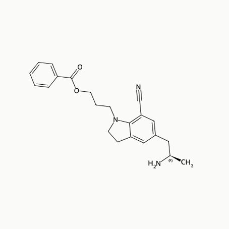 C[C@@H](N)Cc1cc(C#N)c2c(c1)CCN2CCCOC(=O)c1ccccc1